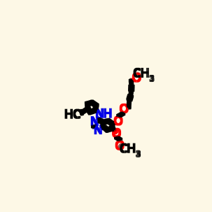 C#Cc1cccc(Nc2ncnc3cc(OCCOC)c(OCCOCC#CC#CCOC)cc23)c1